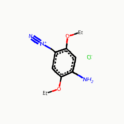 CCOc1cc([N+]#N)c(OCC)cc1N.[Cl-]